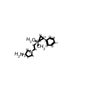 C[N+](C)(CCN1CC[C@H](N)C1)[C@@H]1C[C@H]1c1ccccc1